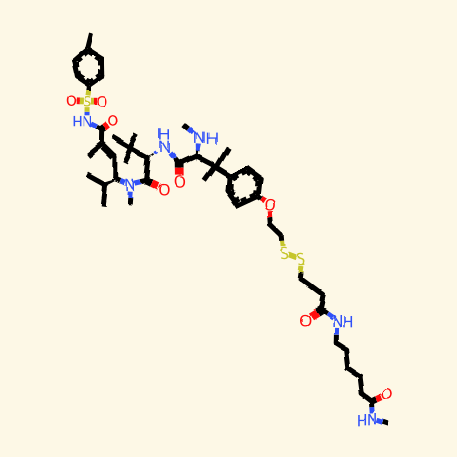 CNC(=O)CCCCCNC(=O)CCSSCCOc1ccc(C(C)(C)[C@H](NC)C(=O)N[C@H](C(=O)N(C)[C@H](/C=C(\C)C(=O)NS(=O)(=O)c2ccc(C)cc2)C(C)C)C(C)(C)C)cc1